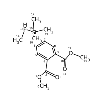 COC(=O)c1ccccc1C(=O)OC.CP[Si](C)(C)C